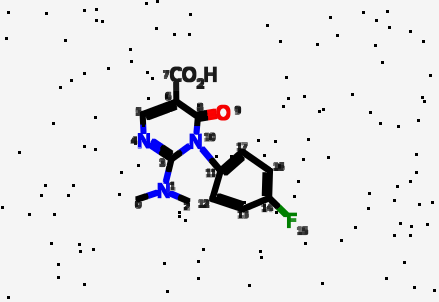 CN(C)c1ncc(C(=O)O)c(=O)n1-c1ccc(F)cc1